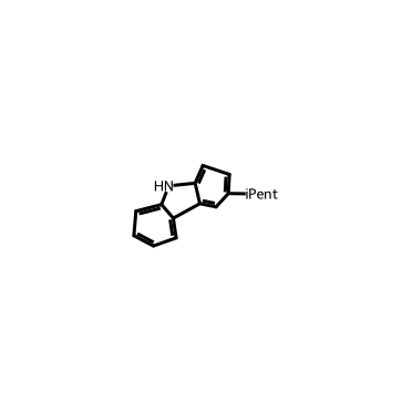 CCCC(C)c1ccc2[nH]c3ccccc3c2c1